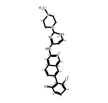 CN1CCN(C2N=C(Nc3cc4ccc(-c5c(Cl)cccc5Cl)cc4cn3)C=CN2)CC1